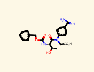 C[C@@H](O)[C@H](NC(=O)OCc1ccccc1)C(=O)N(CC(=O)O)c1ccc(C(=N)N)cc1